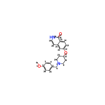 COc1ccc(CN2CCC(Oc3ccc4c(=O)[nH]ccc4c3)CC2)cc1